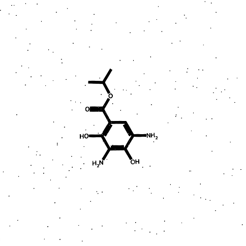 CC(C)OC(=O)c1cc(N)c(O)c(N)c1O